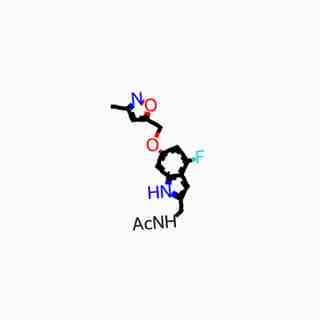 CC(=O)NCc1cc2c(F)cc(OCc3cc(C)no3)cc2[nH]1